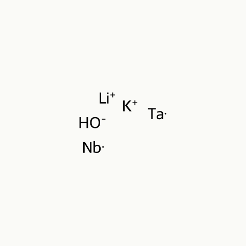 [K+].[Li+].[Nb].[OH-].[Ta]